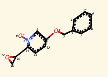 [O-][n+]1cc(OCc2ccccc2)ccc1C1CO1